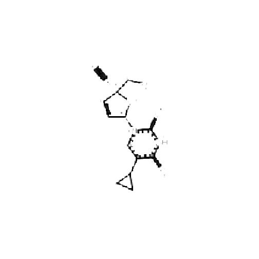 C#C[C@@]1(CO)C=C[C@H](n2cc(C3CC3)c(=O)[nH]c2=O)O1